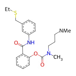 CCSCc1cccc(NC(=O)c2ccccc2OC(=O)N(C)CCCNC)c1